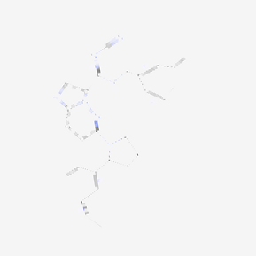 C=C/C=C(\C=C/C)CN/C(=N\C#N)c1cnc2ccc(N3CCCC3/C(C=C)=C/C=C\C)nn12